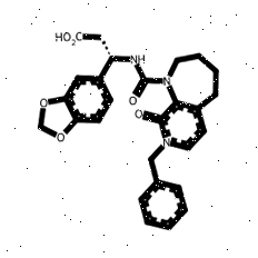 O=C(O)C[C@H](NC(=O)N1CCCCc2ccn(Cc3ccccc3)c(=O)c21)c1ccc2c(c1)OCO2